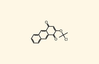 CC(C)(Cl)OC1=CC(=O)c2cc3ccccc3cc2C1=O